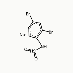 O=[SH](=O)Nc1ccc(Br)cc1Br.[Na]